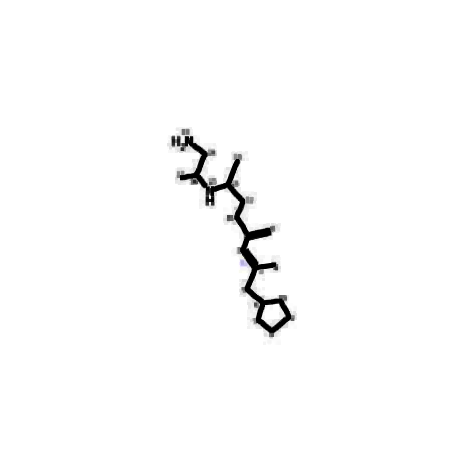 C=C(/C=C(\C)CC1CCCC1)CCC(C)NC(C)CN